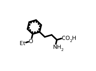 CCOc1ccccc1CCC(N)C(=O)O